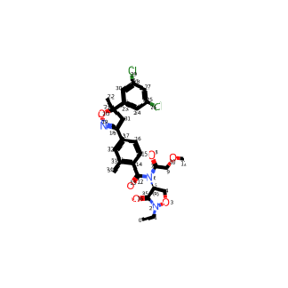 CCN1OC[C@@H](N(C(=O)COC)C(=O)c2ccc(C3=NOC(C)(c4cc(Cl)cc(Cl)c4)C3)cc2C)C1=O